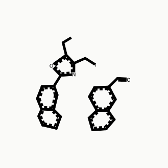 CCc1oc(-c2ccc3ccccc3c2)nc1CI.O=Cc1ccc2ccccc2c1